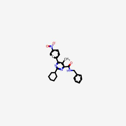 Cc1c(C(=O)NCc2ccccc2)nc(C2CCCCC2)nc1-c1ccc([N+](=O)[O-])cc1